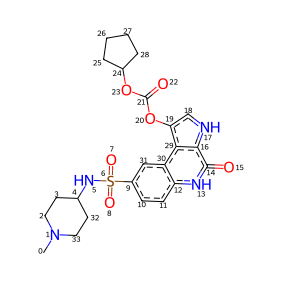 CN1CCC(NS(=O)(=O)c2ccc3[nH]c(=O)c4[nH]cc(OC(=O)OC5CCCC5)c4c3c2)CC1